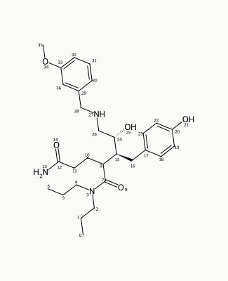 CCCN(CCC)C(=O)C(CCC(N)=O)[C@H](Cc1ccc(O)cc1)[C@@H](O)CNCc1cccc(OC)c1